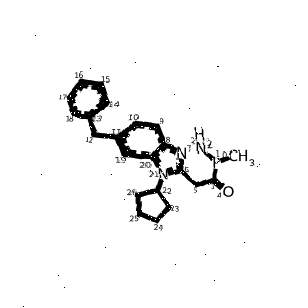 CP(N)C(=O)Cc1nc2ccc(Cc3ccccc3)cc2n1C1CCCC1